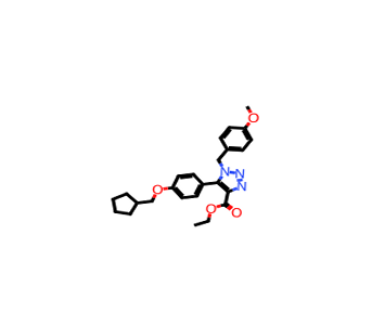 CCOC(=O)c1nnn(Cc2ccc(OC)cc2)c1-c1ccc(OCC2CCCC2)cc1